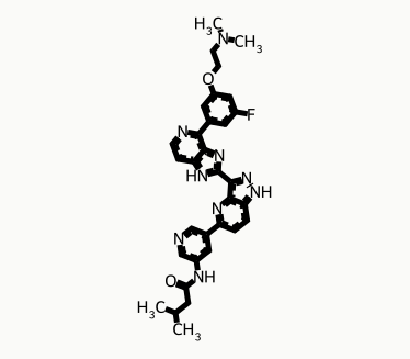 CC(C)CC(=O)Nc1cncc(-c2ccc3[nH]nc(-c4nc5c(-c6cc(F)cc(OCCN(C)C)c6)nccc5[nH]4)c3n2)c1